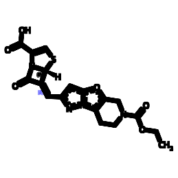 CCOC(=O)N1CCc2c(oc3cc(/C=C4/C(=O)N5C(C(=O)O)=CS[C@H]45)nn23)C1